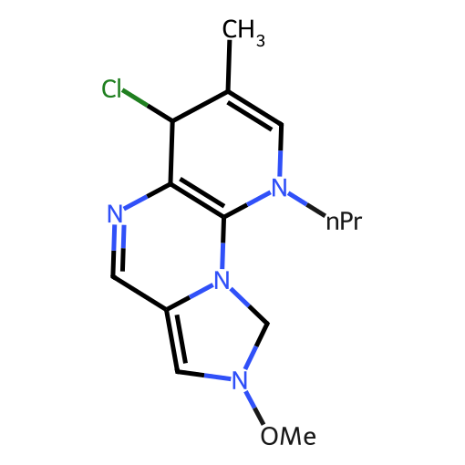 CCCN1C=C(C)C(Cl)C2=C1N1CN(OC)C=C1C=N2